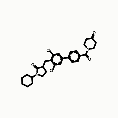 O=C1CCN(C(=O)c2ccc(-c3cc(Cl)c(CC4CCN(C5CCCCC5)C4=O)c(Cl)c3)cc2)CC1